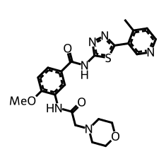 COc1ccc(C(=O)Nc2nnc(-c3cnccc3C)s2)cc1NC(=O)CN1CCOCC1